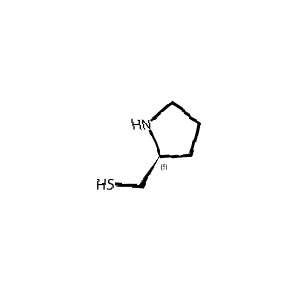 SC[C@@H]1CCCN1